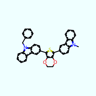 Cn1c2ccccc2c2cc(-c3sc(-c4ccc5c(c4)c4ccccc4n5Cc4ccccc4)c4c3OCCO4)ccc21